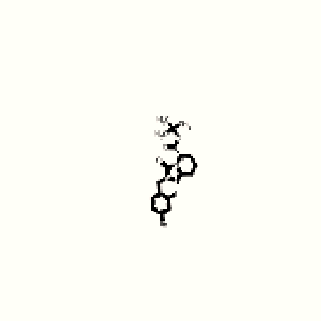 CC(C)(C)OC(=O)[C@@H]1CCCc2nn(Cc3ccc(Br)cc3F)c(=O)n21